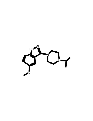 COc1ccc2[nH]nc(N3CCN(C(C)C)CC3)c2c1